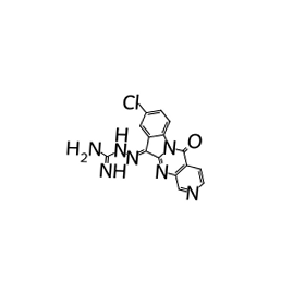 N=C(N)NN=C1c2cc(Cl)ccc2-n2c1nc1cnccc1c2=O